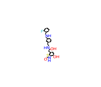 O=c1[nH]c2c(O)ccc(CC(O)NCCc3cccc(CNCc4ccccc4F)c3)c2s1